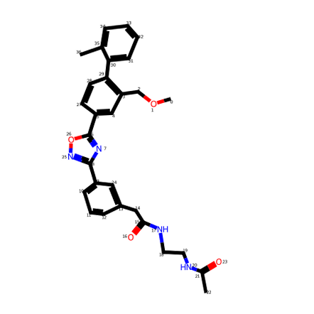 COCc1cc(-c2nc(-c3cccc(CC(=O)NCCNC(C)=O)c3)no2)ccc1-c1ccccc1C